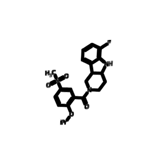 CC(C)Oc1ccc(S(C)(=O)=O)cc1C(=O)N1CCC2Nc3c(F)cccc3C2C1